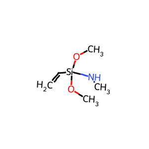 C=C[Si](NC)(OC)OC